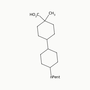 CCCCCC1CCC(C2CCC(C)(C(=O)O)CC2)CC1